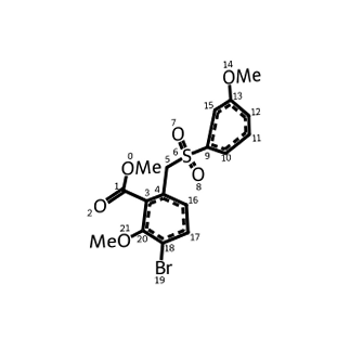 COC(=O)c1c(CS(=O)(=O)c2cccc(OC)c2)ccc(Br)c1OC